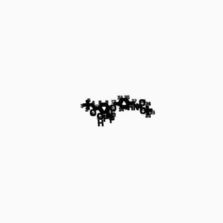 CC(C)(C)CC(=O)c1ccc(OCc2ccc(CNC(=O)OC(C)(C)C)cc2)c(C(F)(F)F)c1O